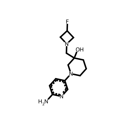 Nc1ccc(N2CCCC(O)(CN3CC(F)C3)C2)cn1